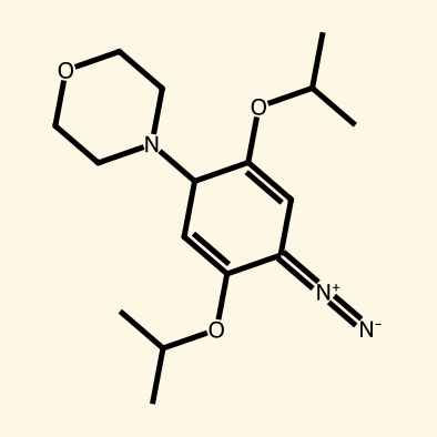 CC(C)OC1=CC(N2CCOCC2)C(OC(C)C)=CC1=[N+]=[N-]